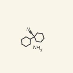 N.N#CC1(C2CCCCC2)CCCCC1